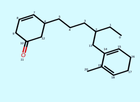 CCC(CCCC1C=CCC(=O)C1)CC1=CCCC=C1C